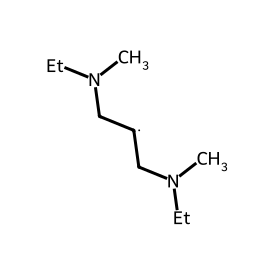 CCN(C)C[CH]CN(C)CC